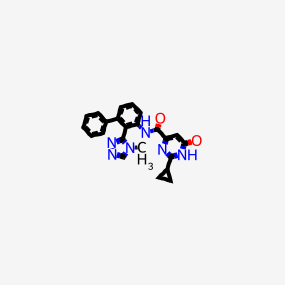 Cn1cnnc1-c1c(NC(=O)c2cc(=O)[nH]c(C3CC3)n2)cccc1-c1ccccc1